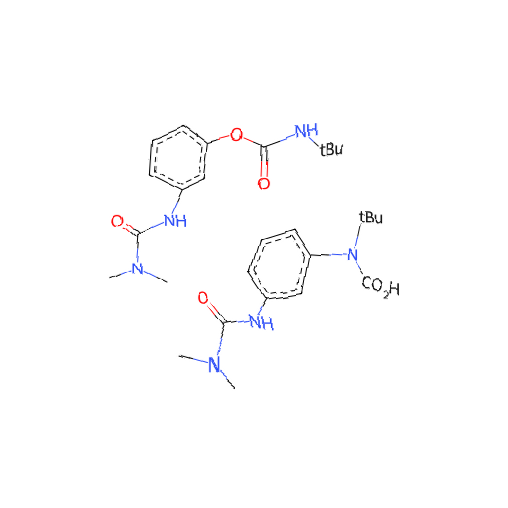 CN(C)C(=O)Nc1cccc(N(C(=O)O)C(C)(C)C)c1.CN(C)C(=O)Nc1cccc(OC(=O)NC(C)(C)C)c1